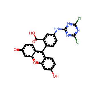 O=C(O)c1cc(Nc2nc(Cl)nc(Cl)n2)ccc1-c1c2ccc(=O)cc-2oc2cc(O)ccc12